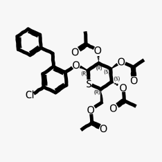 CC(=O)OC[C@H]1S[C@@H](Oc2ccc(Cl)cc2Cc2ccccc2)[C@H](OC(C)=O)[C@@H](OC(C)=O)[C@@H]1OC(C)=O